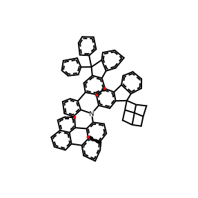 c1ccc(-c2cccc3cccc(-c4ccccc4N(c4ccc5c(c4)C4(c6ccccc6-5)C5CC6CC7CC4C675)c4ccccc4-c4ccc5c(c4)C(c4ccccc4)(c4ccccc4)c4ccccc4-5)c23)cc1